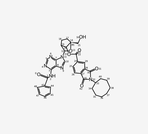 O=C(Nc1ncnc2c1ncn2C1O[C@@]2(CO)CCC1C2OC(=O)c1ccc2c(c1)C(=O)N(C1CCCCCCC1)C2=O)c1ccccc1